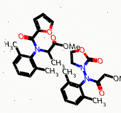 COC(=O)C(C)N(C(=O)c1ccco1)c1c(C)cccc1C.COCC(=O)N(c1c(C)cccc1C)N1CCOC1=O